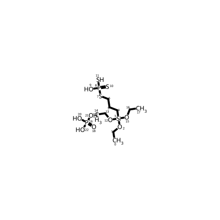 CCO[Si](CCCSP(O)(=S)S)(OCC)OCC.O=P(O)(O)O